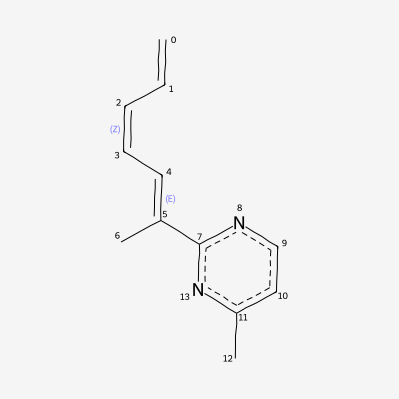 C=C/C=C\C=C(/C)c1nccc(C)n1